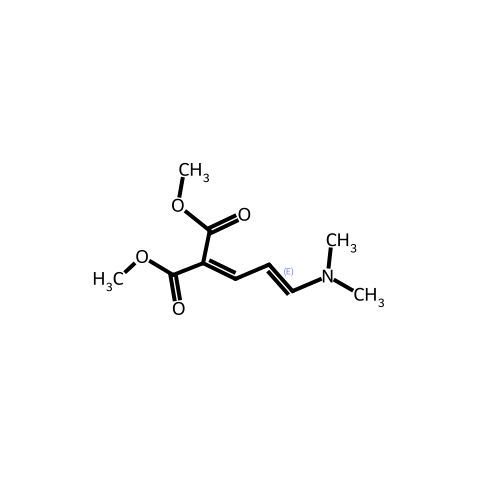 COC(=O)C(=C/C=C/N(C)C)C(=O)OC